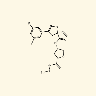 C=C[C@]1(C(=O)N[C@@H]2CO[C@H](C(=O)NOCC)C2)CC(c2cc(F)cc(F)c2)=NO1